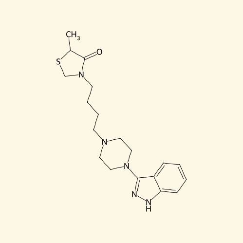 CC1SCN(CCCCN2CCN(c3n[nH]c4ccccc34)CC2)C1=O